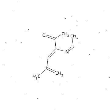 C=C(C)/C=C(\N=C/C)C(C)=O